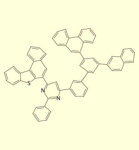 c1ccc(-c2nc(-c3cccc(-c4cc(-c5ccc6ccccc6c5)cc(-c5cc6ccccc6c6ccccc56)c4)c3)cc(-c3cc4ccccc4c4c3sc3ccccc34)n2)cc1